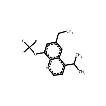 CCc1cc(OC(F)(F)F)c2nccc(C(C)C)c2c1